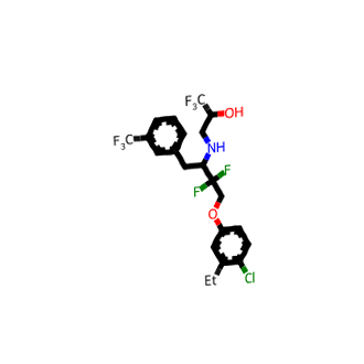 CCc1cc(OCC(F)(F)C(Cc2cccc(C(F)(F)F)c2)NCC(O)C(F)(F)F)ccc1Cl